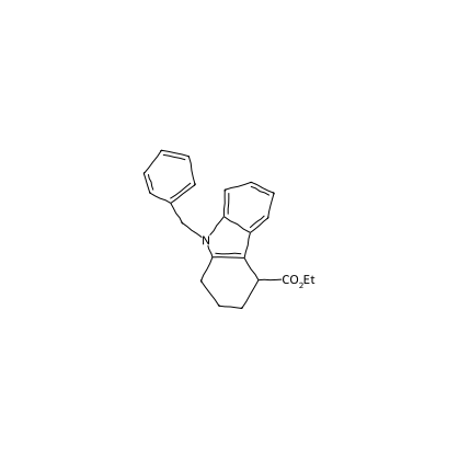 CCOC(=O)C1CCCc2c1c1ccccc1n2Cc1ccccc1